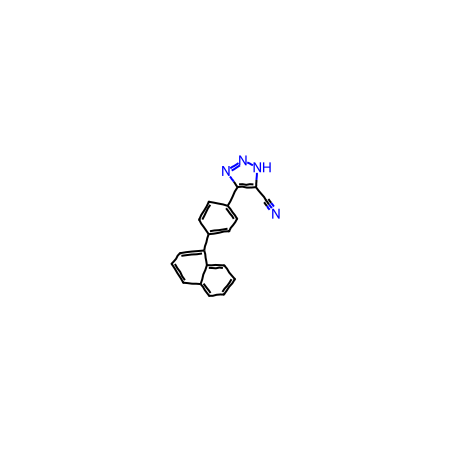 N#Cc1[nH]nnc1-c1ccc(-c2cccc3ccccc23)cc1